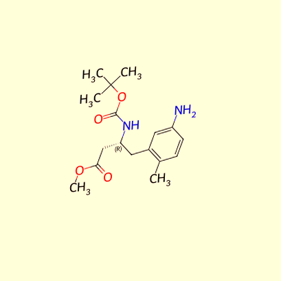 COC(=O)C[C@@H](Cc1cc(N)ccc1C)NC(=O)OC(C)(C)C